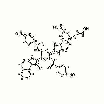 CCn1c(-c2cc(OC(=O)c3ccc([N+](=O)[O-])cc3)c(-n3nc4ccc5c(SOOO)cc(S(=O)(=O)O)cc5c4n3)cc2OC(=O)c2ccc([N+](=O)[O-])cc2)nc2ccc3ccccc3c21